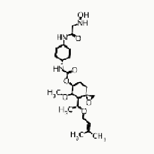 COC1C(OC(=O)N[C@H]2CC[C@H](NC(=O)CNO)CC2)CC[C@]2(CO2)C1[C@H](C)OCC=C(C)C